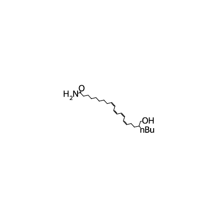 CCCCC(CO)CC\C=C/C=C\C=C/C=C\CCCCCCCC(N)=O